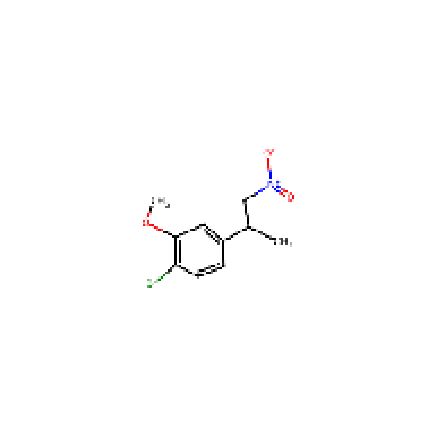 COc1cc(C(C)C[N+](=O)[O-])ccc1Br